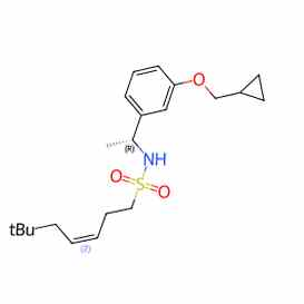 C[C@@H](NS(=O)(=O)CC/C=C\CC(C)(C)C)c1cccc(OCC2CC2)c1